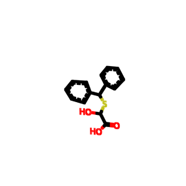 O=C(O)C(O)SC(c1ccccc1)c1ccccc1